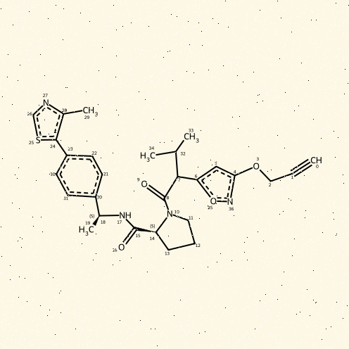 C#CCOc1cc(C(C(=O)N2CCC[C@H]2C(=O)N[C@@H](C)c2ccc(-c3scnc3C)cc2)C(C)C)on1